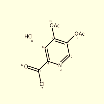 CC(=O)Oc1cnc(C(=O)Cl)cc1OC(C)=O.Cl